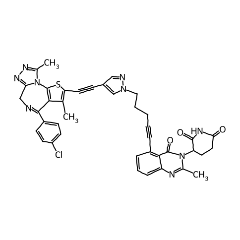 Cc1c(C#Cc2cnn(CCCC#Cc3cccc4nc(C)n(C5CCC(=O)NC5=O)c(=O)c34)c2)sc2c1C(c1ccc(Cl)cc1)=NCc1nnc(C)n1-2